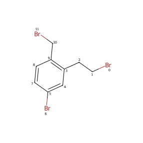 BrCCc1cc(Br)ccc1CBr